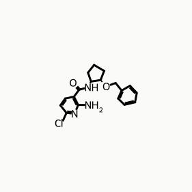 Nc1nc(Cl)ccc1C(=O)N[C@H]1CCC[C@@H]1OCc1ccccc1